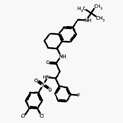 CC(C)(C)NCc1ccc2c(c1)CCCC2NC(=O)CC(NS(=O)(=O)c1ccc(Cl)c(Cl)c1)c1cccc(F)c1